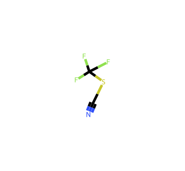 N#CSC(F)(F)F